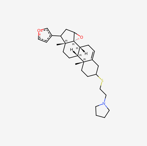 C[C@]12CCC(SCCN3CCCC3)CC1=CC[C@@H]1[C@H]2CC[C@]2(C)C(c3ccoc3)CC3O[C@]312